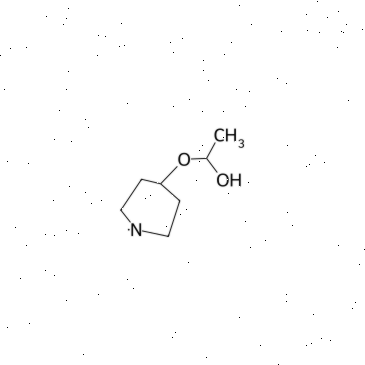 CC(O)OC1CC[N]CC1